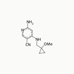 COC1(CNc2cc(N)ncc2C#N)CC1